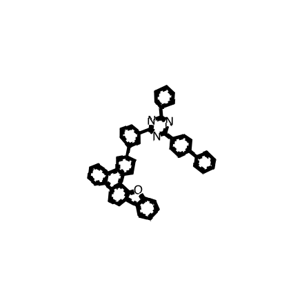 c1ccc(-c2ccc(-c3nc(-c4ccccc4)nc(-c4cccc(-c5ccc6c(c5)c5ccccc5c5ccc7c8ccccc8oc7c56)c4)n3)cc2)cc1